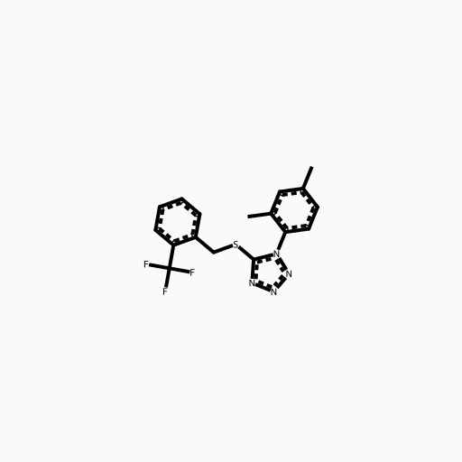 Cc1ccc(-n2nnnc2SCc2ccccc2C(F)(F)F)c(C)c1